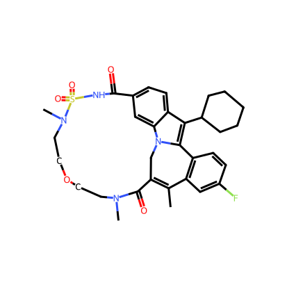 CC1=C2Cn3c(c(C4CCCCC4)c4ccc(cc43)C(=O)NS(=O)(=O)N(C)CCOCCN(C)C2=O)-c2ccc(F)cc21